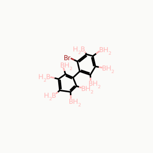 Bc1c(B)c(B)c(-c2c(B)c(B)c(B)c(B)c2Br)c(B)c1B